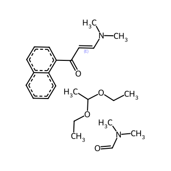 CCOC(C)OCC.CN(C)/C=C/C(=O)c1cccc2ccccc12.CN(C)C=O